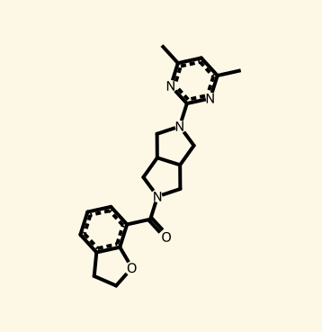 Cc1cc(C)nc(N2CC3CN(C(=O)c4cccc5c4OCC5)CC3C2)n1